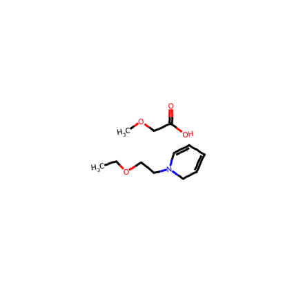 CCOCCN1C=CC=CC1.COCC(=O)O